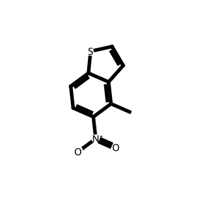 Cc1c([N+](=O)[O-])ccc2sccc12